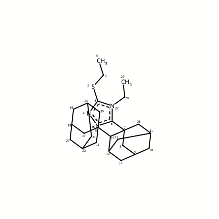 CCSc1nnc(C23CC4CC(CC(C4)C2C24CC5CC(CC(C5)C2)C4)C3)n1CC